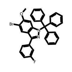 COc1cc2c(cc1Br)c(-c1cccc(F)c1)nn2C(c1ccccc1)(c1ccccc1)c1ccccc1